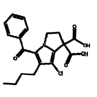 CCCCc1c(Cl)c2n(c1C(=O)c1ccccc1)CCC2(C(=O)O)C(=O)O